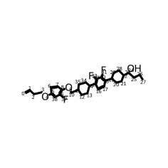 C=CCCOc1ccc(OCC2CCC(c3ccc(C4CCC(C(O)CCC)CC4)c(F)c3F)CC2)c(F)c1